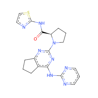 O=C(Nc1nccs1)[C@H]1CCCN1c1nc2c(c(Nc3ncccn3)n1)CCC2